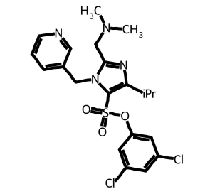 CC(C)c1nc(CN(C)C)n(Cc2cccnc2)c1S(=O)(=O)Oc1cc(Cl)cc(Cl)c1